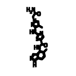 Cc1cn(CC(N)=O)nc1Nc1ncc(C(=O)Nc2c(C)ccc3[nH]ncc23)s1